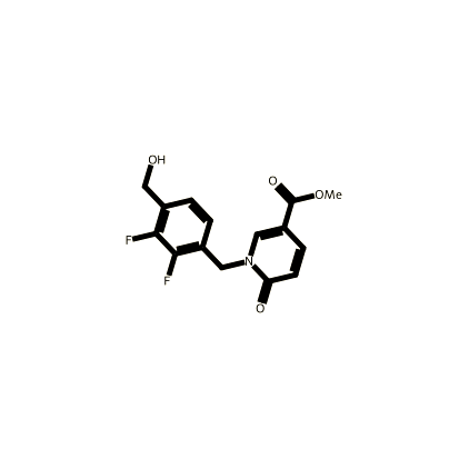 COC(=O)c1ccc(=O)n(Cc2ccc(CO)c(F)c2F)c1